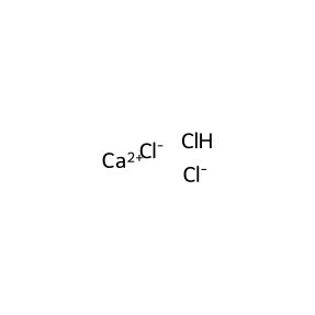 Cl.[Ca+2].[Cl-].[Cl-]